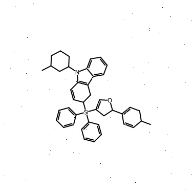 CC1C=CC(C2CC([Si](c3ccccc3)(c3ccccc3)C3C=Cc4c(c5ccccc5n4C4CCCC(C)C4)C3)=CO2)=CC1